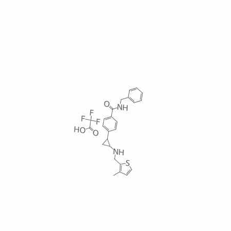 Cc1ccsc1CNC1CC1c1ccc(C(=O)NCc2ccccc2)cc1.O=C(O)C(F)(F)F